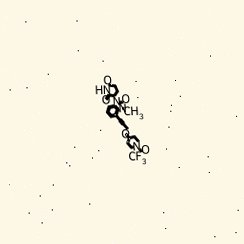 Cn1c(=O)n(C2CCC(=O)NC2=O)c2cccc(C#CCOC3CCN(C(=O)C(F)(F)F)CC3)c21